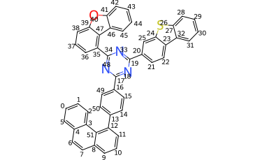 c1ccc2c(c1)ccc1cccc(-c3ccc(-c4nc(-c5ccc6c(c5)sc5ccccc56)nc(-c5cccc6oc7ccccc7c56)n4)cc3)c12